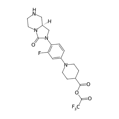 O=C(OC(=O)C(F)(F)F)C1CCN(c2ccc(N3C[C@@H]4CNCCN4C3=O)c(F)c2)CC1